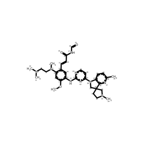 COc1cc(N(C)CCN(C)C)c(C=CC(=O)NC=O)cc1Nc1nccc(N2CC3(CCN(C)C3)c3nc(C)ccc32)n1